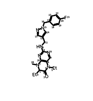 CCC1C(=O)N(CC)c2cnc(NCc3cnn(Cc4ccc(F)cc4)c3)nc2N1C